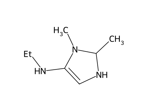 CCNC1=CNC(C)N1C